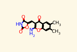 Cc1cc2oc(N)c(C=C3OC(=O)NC3=O)c(=O)c2cc1C